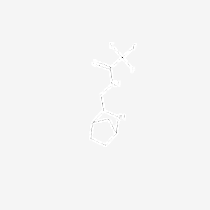 O=C(NCC1NC2CCC1C2)C(F)(F)F